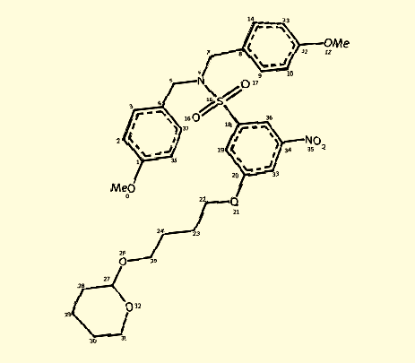 COc1ccc(CN(Cc2ccc(OC)cc2)S(=O)(=O)c2cc(OCCCCOC3CCCCO3)cc([N+](=O)[O-])c2)cc1